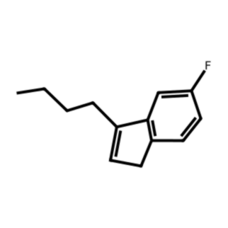 CCCCC1=CCc2ccc(F)cc21